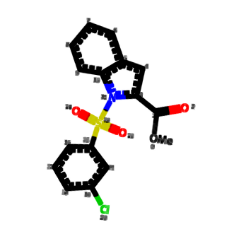 COC(=O)c1cc2ccccc2n1S(=O)(=O)c1cccc(Cl)c1